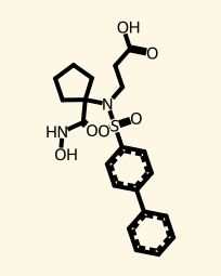 O=C(O)CCN(C1(C(=O)NO)CCCC1)S(=O)(=O)c1ccc(-c2ccccc2)cc1